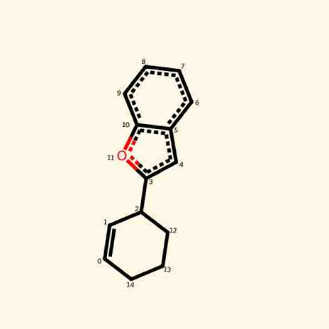 C1=CC(c2cc3ccccc3o2)CCC1